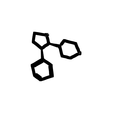 c1ccc([C@H]2CC[N][C@H]2N2CCOCC2)cc1